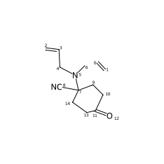 C=C.C=CCN(C)C1(C#N)CCC(=O)CC1